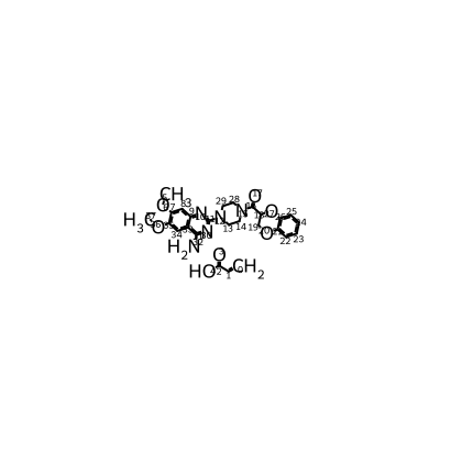 C=CC(=O)O.COc1cc2nc(N3CCN(C(=O)C4COc5ccccc5O4)CC3)nc(N)c2cc1OC